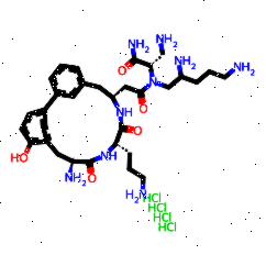 Cl.Cl.Cl.Cl.NCCCC(N)CN(C(=O)C[C@@H]1Cc2cccc(c2)-c2ccc(O)c(c2)C[C@H](N)C(=O)N[C@@H](CCCN)C(=O)N1)[C@@H](CN)C(N)=O